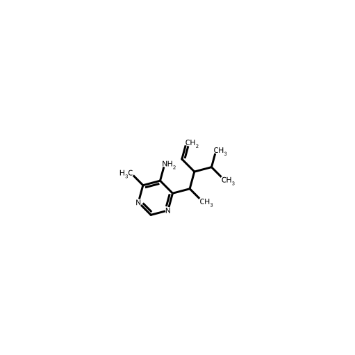 C=CC(C(C)C)C(C)c1ncnc(C)c1N